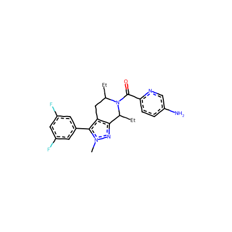 CCC1Cc2c(nn(C)c2-c2cc(F)cc(F)c2)C(CC)N1C(=O)c1ccc(N)cn1